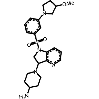 COC1CCN(c2cccc(S(=O)(=O)N3CC(N4CCC(N)CC4)c4ncccc43)c2)C1